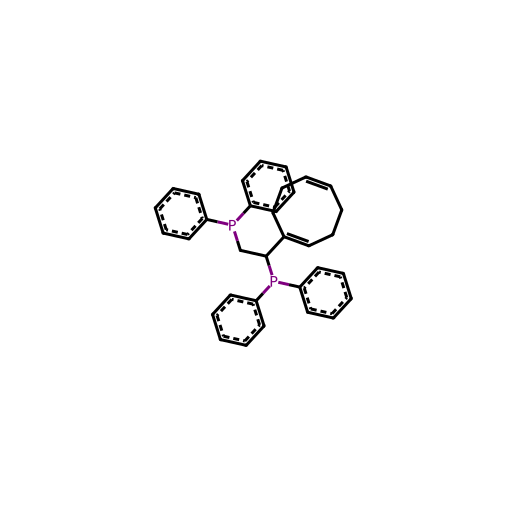 C1=CCCC(C(CP(c2ccccc2)c2ccccc2)P(c2ccccc2)c2ccccc2)=CCC1